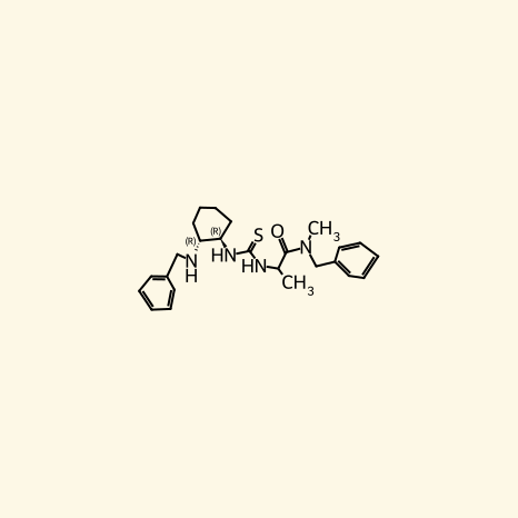 CC(NC(=S)N[C@@H]1CCCC[C@H]1NCc1ccccc1)C(=O)N(C)Cc1ccccc1